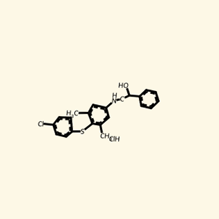 Cc1cc(NCC(O)c2ccccc2)cc(C)c1Sc1ccc(Cl)cc1.Cl